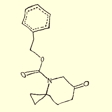 O=C1CCC2(CC2)N(C(=O)OCc2ccccc2)C1